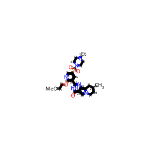 CCN1CCN(S(=O)(=O)c2cnc(OCCOC)c(-c3nc4c5n(cc4c(=O)[nH]3)CC[C@@H](C)C5)c2)CC1